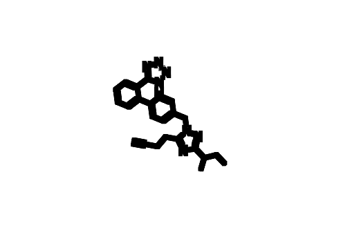 C#CCCc1nc(C(C)CC)nn1Cc1ccc(-c2ccccc2-c2nnn[nH]2)cc1